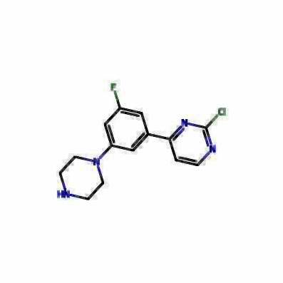 Fc1cc(-c2ccnc(Cl)n2)cc(N2CCNCC2)c1